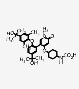 Cc1cc(C(C)(C)O)cc(C)c1Oc1ccc(C(C)(C)O)cc1-c1cn(C)c(=O)cc1OC1CCC(NC(=O)O)CC1